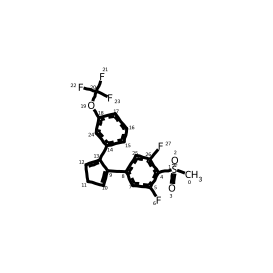 CS(=O)(=O)c1c(F)cc(C2=CCC=C2c2cccc(OC(F)(F)F)c2)cc1F